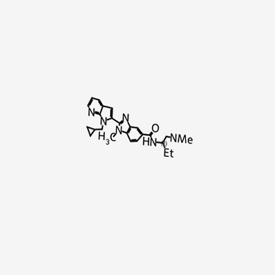 CC[C@H](CNC)NC(=O)c1ccc2c(c1)nc(-c1cc3cccnc3n1CC1CC1)n2C